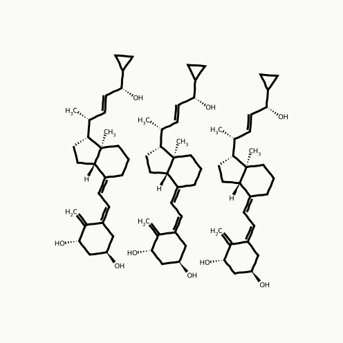 C=C1/C(=C\C=C2/CCC[C@]3(C)[C@@H]([C@H](C)/C=C/[C@@H](O)C4CC4)CC[C@@H]23)C[C@@H](O)C[C@@H]1O.C=C1/C(=C\C=C2/CCC[C@]3(C)[C@@H]([C@H](C)/C=C/[C@@H](O)C4CC4)CC[C@@H]23)C[C@@H](O)C[C@@H]1O.C=C1/C(=C\C=C2/CCC[C@]3(C)[C@@H]([C@H](C)/C=C/[C@@H](O)C4CC4)CC[C@@H]23)C[C@@H](O)C[C@@H]1O